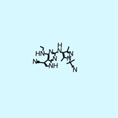 CCNc1nc(Nc2c(C)nn(C(C)(C)C#N)c2C)nc2[nH]cc(C#N)c12